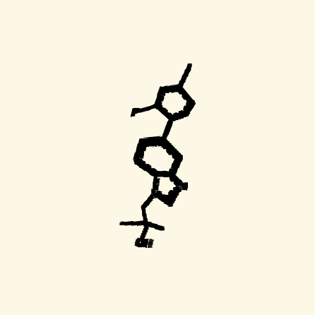 Cc1ccc(-c2ccc3c(c2)ncn3CC(C)(C)O)c(F)c1